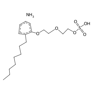 CCCCCCCCc1ccccc1OCCOCCOS(=O)(=O)O.N